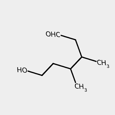 CC(CC=O)C(C)CCO